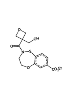 CCOC(=O)c1ccc2c(c1)OCCN(C(=O)C1(CO)COC1)S2